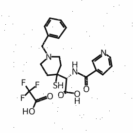 O=C(N[C@H](C(=O)O)C1(S)CCN(Cc2ccccc2)CC1)c1cccnc1.O=C(O)C(F)(F)F